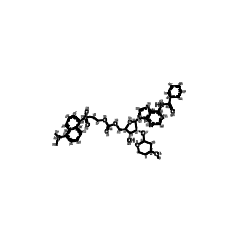 COC1CCOC(O[C@@H]2[C@H](O)[C@@H](COC(=O)OCCS(=O)(=O)c3cccc4c(N(C)C)cccc34)O[C@H]2n2cnc3c(NC(=O)c4ccccc4)ncnc32)C1